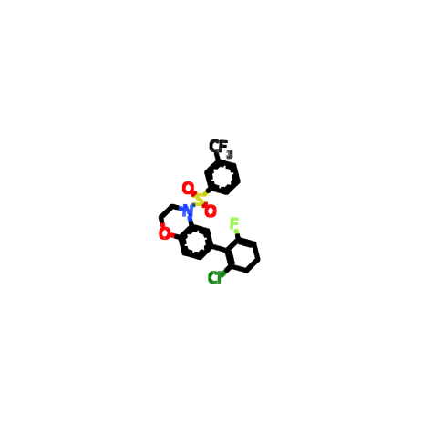 O=S(=O)(c1cccc(C(F)(F)F)c1)N1CCOc2ccc(C3=C(Cl)CCC=C3F)cc21